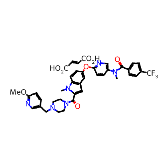 COc1ccc(CN2CCN(C(=O)c3cc4cc(Oc5ccc(N(C)C(=O)c6ccc(C(F)(F)F)cc6)cn5)ccc4n3C)CC2)cn1.O=C(O)C=CC(=O)O